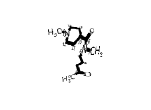 CC(=O)CCCN(C)C(=O)C1CCN(C)CC1